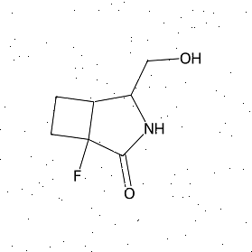 O=C1NC(CO)C2CCC12F